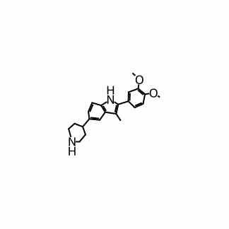 COc1ccc(-c2[nH]c3ccc(C4CCNCC4)cc3c2C)cc1OC